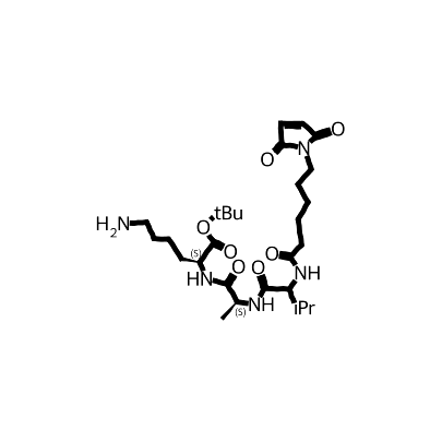 CC(C)C(NC(=O)CCCCCN1C(=O)C=CC1=O)C(=O)N[C@@H](C)C(=O)N[C@@H](CCCCN)C(=O)OC(C)(C)C